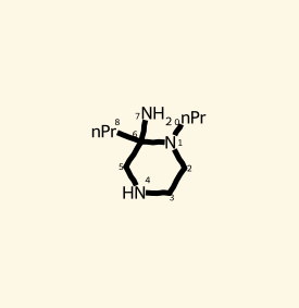 CCCN1CCNCC1(N)CCC